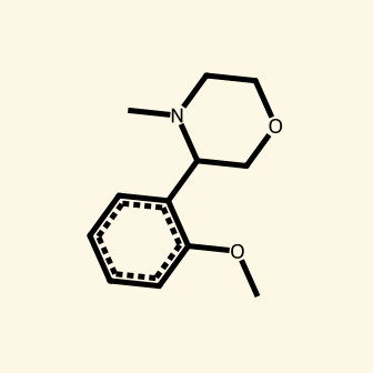 COc1ccccc1C1COCCN1C